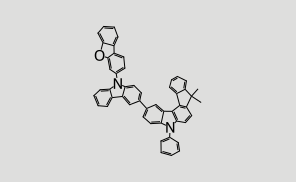 CC1(C)c2ccccc2-c2c1ccc1c2c2cc(-c3ccc4c(c3)c3ccccc3n4-c3ccc4c(c3)oc3ccccc34)ccc2n1-c1ccccc1